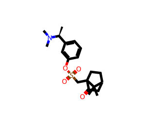 C[C@@H](c1cccc(OS(=O)(=O)CC23CCC(CC2=O)C3(C)C)c1)N(C)C